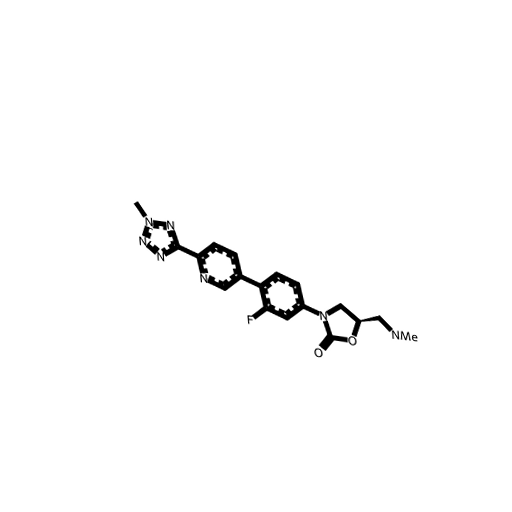 CNC[C@@H]1CN(c2ccc(-c3ccc(-c4nnn(C)n4)nc3)c(F)c2)C(=O)O1